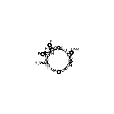 COc1ccc(C[C@@H]2NC(=O)CCNC(=O)[C@@H]3CCCN3C(=O)[C@H](Cc3c[nH]c4ccc(F)cc34)NC(=O)[C@H](Cc3cc4cc(F)ccc4[nH]3)NC(=O)[C@@H](C)NC(=O)[C@@H](CCCCN)NC(=O)CCSCc3cccc(c3)CSCCNC(=O)[C@]3(C)CCCN3C2=O)cc1